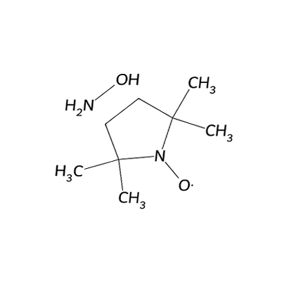 CC1(C)CCC(C)(C)N1[O].NO